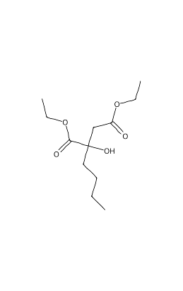 CCCCC(O)(CC(=O)OCC)C(=O)OCC